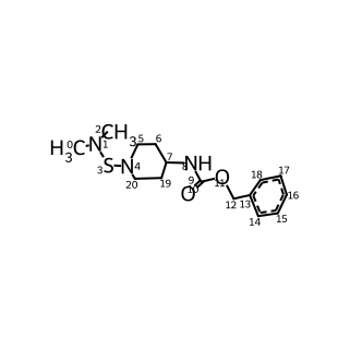 CN(C)SN1CCC(NC(=O)OCc2ccccc2)CC1